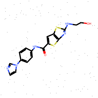 O=C(Nc1ccc(-n2ccnc2)cc1)c1cc2sc(NCCO)nc2s1